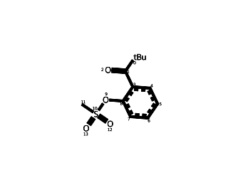 CC(C)(C)C(=O)c1ccccc1OS(C)(=O)=O